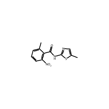 Cc1cnc(NC(=O)c2c(C)cccc2[N+](=O)[O-])s1